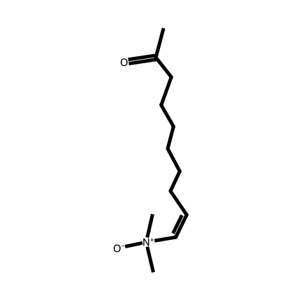 CC(=O)CCCCCC/C=C\[N+](C)(C)[O-]